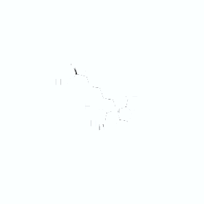 C=C(C)COCCC[Si](C(C)C)(C(C)C)C(C)C